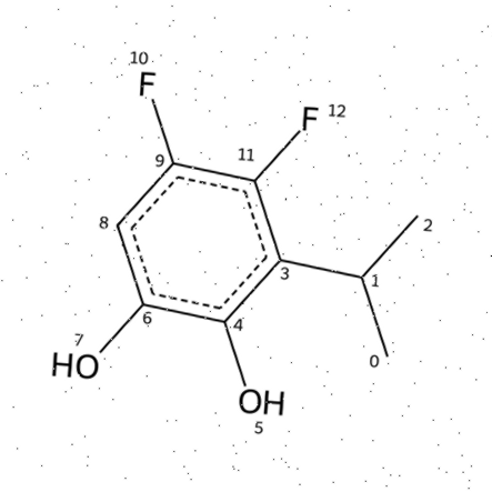 CC(C)c1c(O)c(O)cc(F)c1F